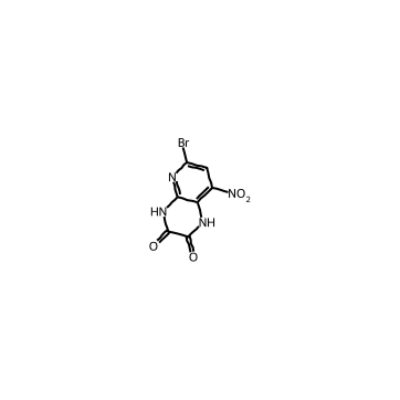 O=c1[nH]c2nc(Br)cc([N+](=O)[O-])c2[nH]c1=O